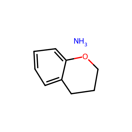 N.c1ccc2c(c1)CCCO2